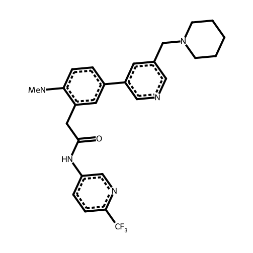 CNc1ccc(-c2cncc(CN3CCCCC3)c2)cc1CC(=O)Nc1ccc(C(F)(F)F)nc1